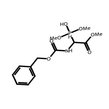 COC(=O)C(NC(=O)OCc1ccccc1)[PH](O)(OC)OC